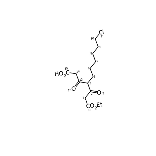 CCOC(=O)CC(=O)C(CCCCCCCl)C(=O)CC(=O)O